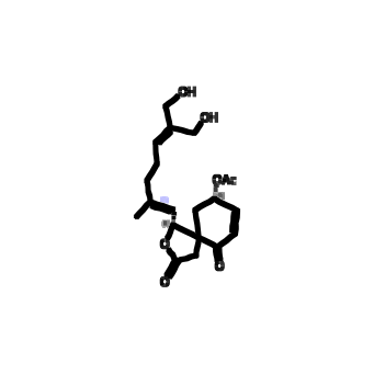 CC(=O)O[C@@H]1C=CC(=O)C2(CC(=O)O[C@@H]2/C=C(\C)CCC=C(CO)CO)C1